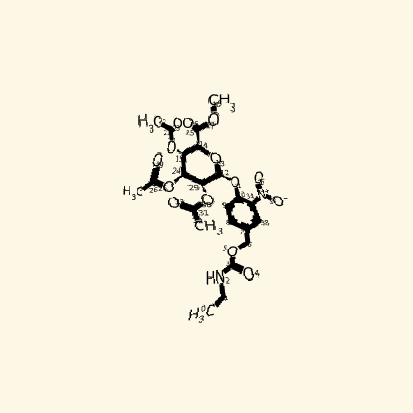 CCNC(=O)OCc1ccc(O[C@@H]2O[C@H](C(=O)OC)[C@@H](OC(C)=O)[C@H](OC(C)=O)[C@H]2OC(C)=O)c([N+](=O)[O-])c1